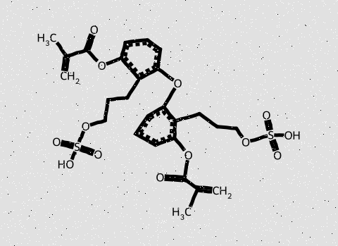 C=C(C)C(=O)Oc1cccc(Oc2cccc(OC(=O)C(=C)C)c2CCCOS(=O)(=O)O)c1CCCOS(=O)(=O)O